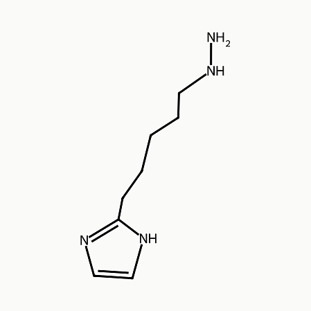 NNCCCCCc1ncc[nH]1